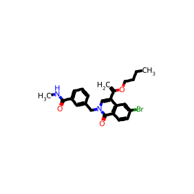 C=C(OCCCC)c1cn(Cc2cccc(C(=O)NC)c2)c(=O)c2ccc(Br)cc12